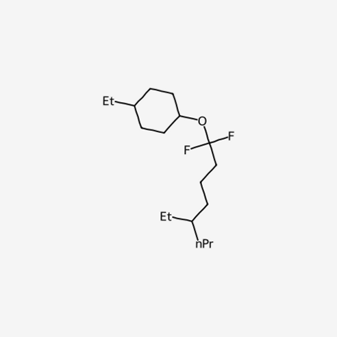 CCCC(CC)CCCC(F)(F)OC1CCC(CC)CC1